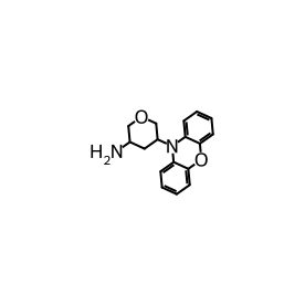 NC1COCC(N2c3ccccc3Oc3ccccc32)C1